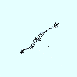 C=CC(=O)OCCCCCCOc1ccc(-c2ccc(OC(=O)c3ccc(OCCCCCCCCCC4CC(=C)C(=O)O4)cc3)cc2)cc1